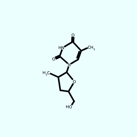 Cc1cn(C2OC(CO)CC2C)c(=O)[nH]c1=O